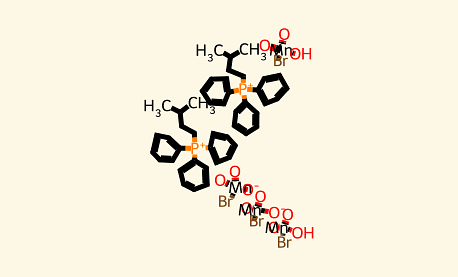 CC(C)CC[P+](c1ccccc1)(c1ccccc1)c1ccccc1.CC(C)CC[P+](c1ccccc1)(c1ccccc1)c1ccccc1.[O]=[Mn](=[O])([O-])[Br].[O]=[Mn](=[O])([O-])[Br].[O]=[Mn](=[O])([OH])[Br].[O]=[Mn](=[O])([OH])[Br]